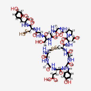 C[C@H](NC(=O)[C@H](C)NC(=O)[C@@H]1CCCN1C(=O)[C@H](CC=O)NC(=O)[C@@H]1CSSC[C@H](N)C(=O)N[C@@H](C)C(=O)N[C@@H](CCC(=O)O)C(=O)N[C@@H](Cc2ccc(O)cc2)C(=O)N[C@H](C)C(=O)N1)C(=O)N[C@H](C(=O)NCC(=O)N[C@@H](CSS)C(=O)N[C@@H](Cc1ccc(O)cc1)C(=O)O)[C@H](C)O